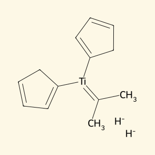 C[C](C)=[Ti]([C]1=CC=CC1)[C]1=CC=CC1.[H-].[H-]